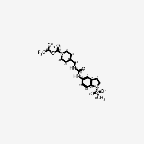 CS(=O)(=O)N1CCc2cc(NC(=O)NCC3CCN(C(=O)OC(C(F)(F)F)C(F)(F)F)CC3)ccc21